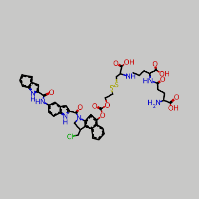 NC(CCC(=O)NC(CCCNC(CSSCCOC(=O)Oc1cc2c(c3ccccc13)C(CCl)CN2C(=O)c1cc2cc(NC(=O)c3cc4ccccc4[nH]3)ccc2[nH]1)C(=O)O)C(=O)O)C(=O)O